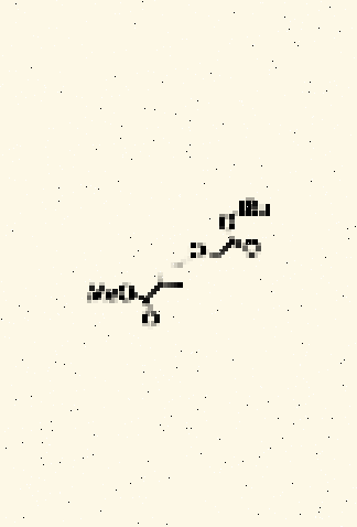 COC(=O)C1CC(OCC(=O)OC(C)(C)C)C1